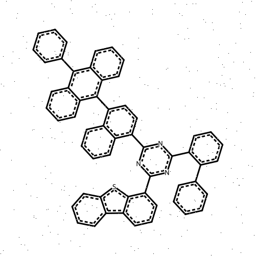 c1ccc(-c2ccccc2-c2nc(-c3ccc(-c4c5ccccc5c(-c5ccccc5)c5ccccc45)c4ccccc34)nc(-c3cccc4c3sc3ccccc34)n2)cc1